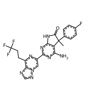 CC1(c2ccc(F)cc2)C(=O)Nc2nc(-c3cn4ncnc4c(CCC(F)(F)F)n3)nc(N)c21